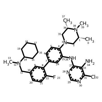 C[C@@H]1CN(c2ccc(-c3cc(CN(C)C4CCCCC4)ccc3F)cc2Nc2ncnc(Cl)c2N)C[C@H](C)N1C